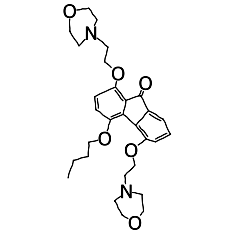 CCCCOc1ccc(OCCN2CCOCC2)c2c1-c1c(OCCN3CCOCC3)cccc1C2=O